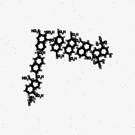 N.N.O=S(=O)(O)c1cc2ccccc2c(S(=O)(=O)O)c1S(=O)(=O)O.O=S(=O)(O)c1ccc2cc(S(=O)(=O)O)ccc2c1.O=S(=O)(O)c1ccc2cc(S(=O)(=O)O)ccc2c1.O=S(=O)(O)c1ccc2cc(S(=O)(=O)O)ccc2c1.O=S(=O)(O)c1cccc2c(S(=O)(=O)O)cccc12.O=S(=O)(O)c1cccc2c(S(=O)(=O)O)cccc12.O=S(=O)([O-])c1cccc2c(S(=O)(=O)[O-])cccc12.[K+].[K+]